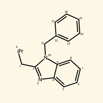 CC(C)Cc1nc2ccccc2n1Cc1ccccc1